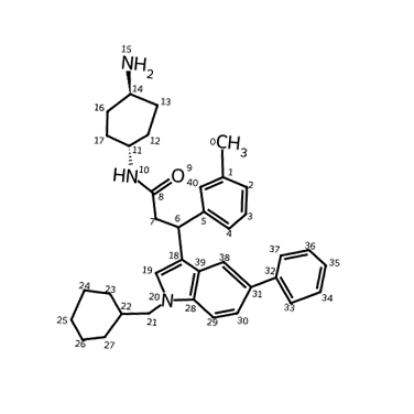 Cc1cccc(C(CC(=O)N[C@H]2CC[C@H](N)CC2)c2cn(CC3CCCCC3)c3ccc(-c4ccccc4)cc23)c1